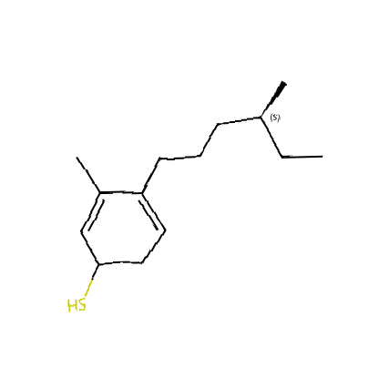 CC[C@H](C)CCCC1=CCC(S)C=C1C